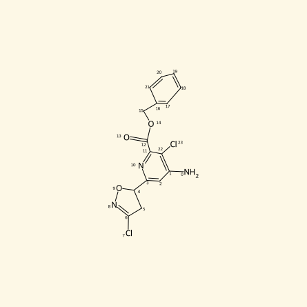 Nc1cc(C2CC(Cl)=NO2)nc(C(=O)OCc2ccccc2)c1Cl